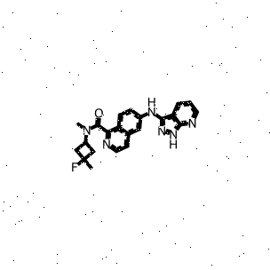 CN(C(=O)c1nccc2cc(Nc3n[nH]c4ncccc34)ccc12)C1CC(C)(F)C1